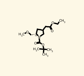 CCOC(=O)CC1C[C@@H](COC)N(C(=O)OC(C)(C)C)C1